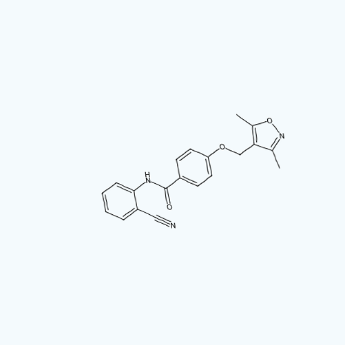 Cc1noc(C)c1COc1ccc(C(=O)Nc2ccccc2C#N)cc1